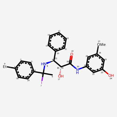 CCc1ccc(C(C)(I)N[C@@H](c2ccccc2)[C@@H](O)C(=O)Nc2cc(O)cc(OC)c2)cc1